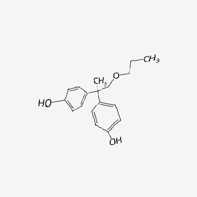 CCCOCC(C)(c1ccc(O)cc1)c1ccc(O)cc1